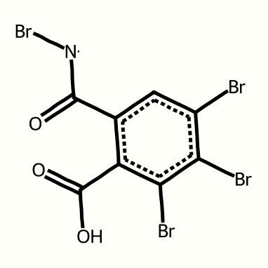 O=C([N]Br)c1cc(Br)c(Br)c(Br)c1C(=O)O